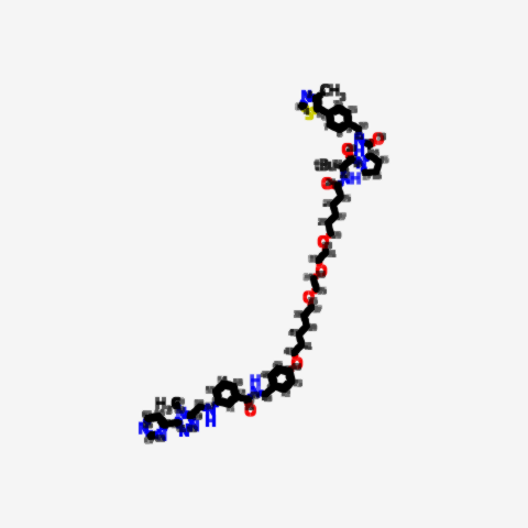 Cc1ncsc1-c1ccc(CNC(=O)[C@@H]2CCCN2C(=O)[C@@H](NC(=O)CCCCCOCCOCCOCCCCCCOc2ccc(CNC(=O)c3cccc(NCc4nnc(-c5ccncn5)n4C)c3)cc2)C(C)(C)C)cc1